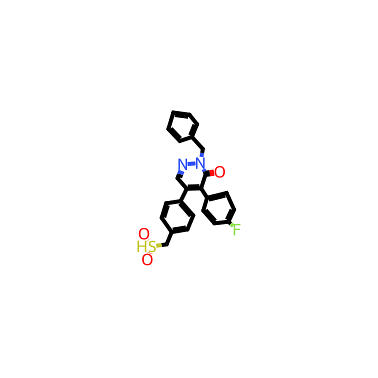 O=c1c(-c2ccc(F)cc2)c(-c2ccc(C[SH](=O)=O)cc2)cnn1Cc1ccccc1